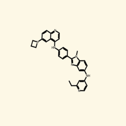 CCc1cc(Nc2ccc3c(c2)nc(-c2ccc(Nc4ccnc5ccc(N6CCC6)cc45)cc2)n3C)ccn1